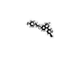 C#Cc1ccc(C2CN(C)Cc3cc(OCCCN4CCC(F)CC4)ccc32)cn1